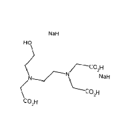 O=C(O)CN(CCO)CCN(CC(=O)O)CC(=O)O.[NaH].[NaH]